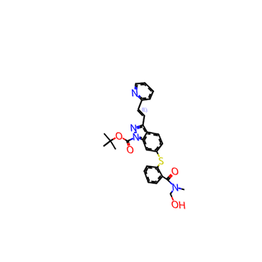 CN(CO)C(=O)c1ccccc1Sc1ccc2c(/C=C/c3ccccn3)nn(C(=O)OC(C)(C)C)c2c1